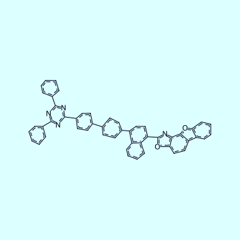 c1ccc(-c2nc(-c3ccccc3)nc(-c3ccc(-c4ccc(-c5ccc(-c6nc7c(ccc8c9ccccc9oc87)o6)c6ccccc56)cc4)cc3)n2)cc1